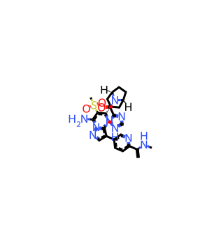 C=C(NC)c1ccc(-c2cnn3c(N)c(S(C)(=O)=O)c([C@@H]4C[C@H]5CC[C@@H](C4)N5C(=O)c4nc[nH]n4)nc23)cn1